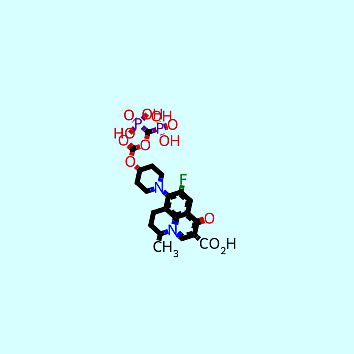 CC1CCc2c(N3CCC(OC(=O)OC(P(=O)(O)O)P(=O)(O)O)CC3)c(F)cc3c(=O)c(C(=O)O)cn1c23